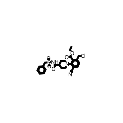 CCOC(=O)c1c(CCl)ccc(C#N)c1N1CCC(C(=O)NS(=O)(=O)Cc2ccccc2)CC1